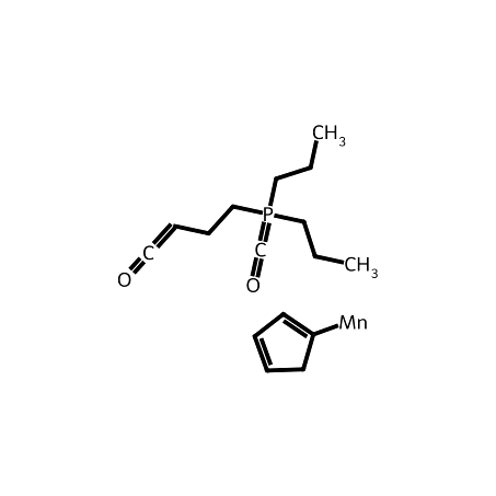 CCCP(=C=O)(CCC)CCC=C=O.[Mn][C]1=CC=CC1